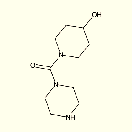 O=C(N1CCNCC1)N1CCC(O)CC1